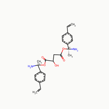 C=Cc1ccc([C@@](C)(N)OC(=O)CC(O)C(=O)O[C@](C)(N)c2ccc(C=C)cc2)cc1